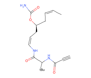 C#CC(=O)NC(C(=O)N/C=C\C[C@H](C/C=C\C)OC(N)=O)C(C)(C)C